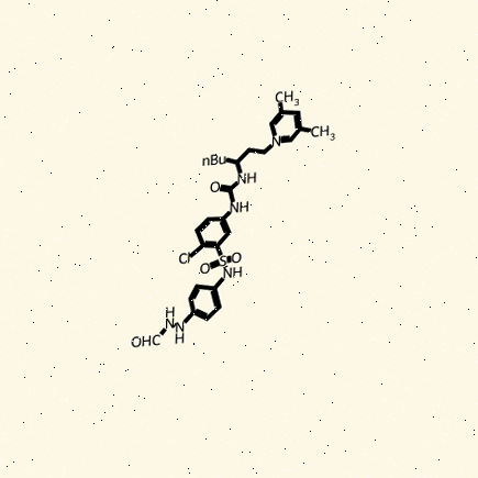 CCCCC(CC[n+]1cc(C)cc(C)c1)NC(=O)Nc1ccc(Cl)c(S(=O)(=O)Nc2ccc(NNC=O)cc2)c1